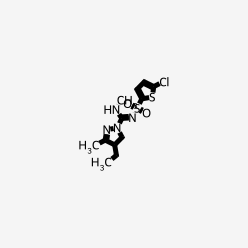 CCC1CN(/C(=N/S(=O)(=O)c2ccc(Cl)s2)NC)N=C1C